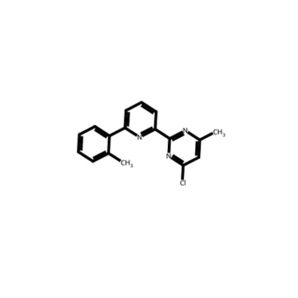 Cc1cc(Cl)nc(-c2cccc(-c3ccccc3C)n2)n1